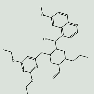 C=CC1CN(Cc2cc(OCC)nc(OCC)n2)C(C(O)c2ccnc3ccc(OC)cc23)CC1CCC